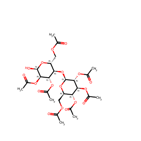 CC(=O)OC[C@H]1O[C@H](O)[C@H](OC(C)=O)[C@@H](OC(C)=O)[C@@H]1O[C@@H]1O[C@H](COC(C)=O)[C@@H](OC(C)=O)[C@H](OC(C)=O)[C@H]1OC(C)=O